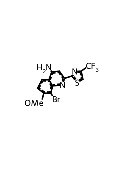 COc1ccc2c(N)cc(-c3nc(C(F)(F)F)cs3)nc2c1Br